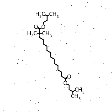 CC(C)CCOC(=O)CCCCCCCCCCCCCC(C)(C)C(=O)OCCC(C)C